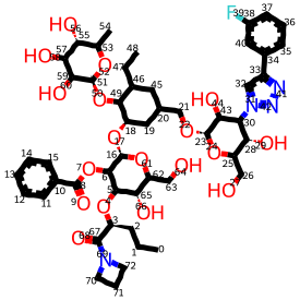 CCC[C@H](OC1C(OC(=O)c2ccccc2)[C@H](O[C@@H]2CC(CO[C@H]3OC(CO)[C@@H](O)C(n4cc(-c5cccc(F)c5)nn4)C3O)CC(CC)C2O[C@@H]2OC(C)[C@@H](O)C(O)C2O)OC(CO)[C@@H]1O)C(=O)N1CCC1